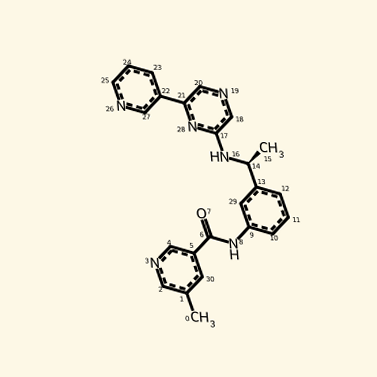 Cc1cncc(C(=O)Nc2cccc([C@H](C)Nc3cncc(-c4cccnc4)n3)c2)c1